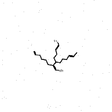 C=CCCCCC(=CCCC)[C](CCC=CCC)CCCC=CC